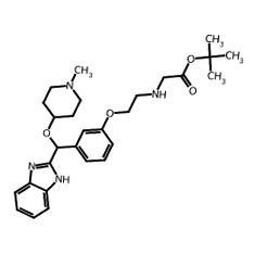 CN1CCC(OC(c2cccc(OCCNCC(=O)OC(C)(C)C)c2)c2nc3ccccc3[nH]2)CC1